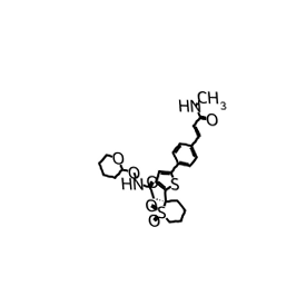 CNC(=O)C=Cc1ccc(-c2ccc([C@@]3(CC(=O)NOC4CCCCO4)CCCCS3(=O)=O)s2)cc1